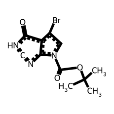 CC(C)(C)OC(=O)n1cc(Br)c2c(=O)[nH]cnc21